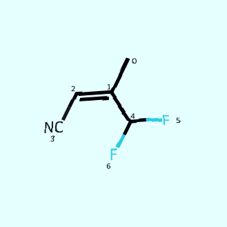 CC(=CC#N)C(F)F